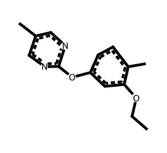 CCOc1cc(Oc2ncc(C)cn2)ccc1C